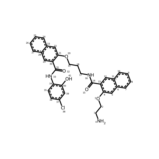 NCCOc1cc2ccccc2cc1C(=O)NCCCOc1cc2ccccc2cc1C(=O)Nc1ccc(Cl)cc1O